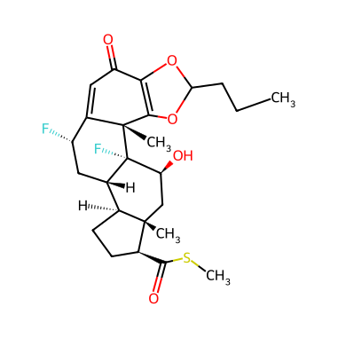 CCCC1OC2=C(O1)[C@@]1(C)C(=CC2=O)[C@@H](F)C[C@H]2[C@@H]3CC[C@H](C(=O)SC)[C@@]3(C)C[C@H](O)[C@@]21F